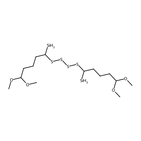 COC(CCCC([SiH3])SSSSC([SiH3])CCCC(OC)OC)OC